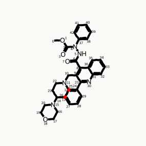 COC(=O)N(NC(=O)c1c(CN2CCC(N3CCOCC3)CC2)c(-c2ccccc2)nc2ccccc12)c1ccccc1